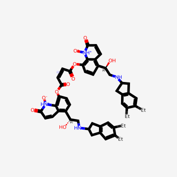 CCc1cc2c(cc1CC)CC(NC[C@H](O)c1ccc(OC(=O)/C=C\C(=O)Oc3ccc([C@@H](O)CNC4Cc5cc(CC)c(CC)cc5C4)c4c3[NH+]([O-])C(=O)C=C4)c3c1C=CC(=O)[NH+]3[O-])C2